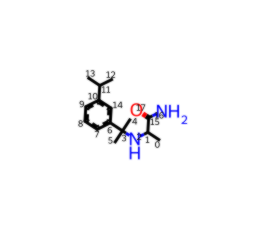 CC(NC(C)(C)c1cccc(C(C)C)c1)C(N)=O